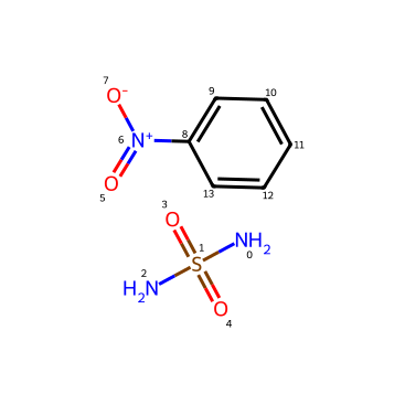 NS(N)(=O)=O.O=[N+]([O-])c1ccccc1